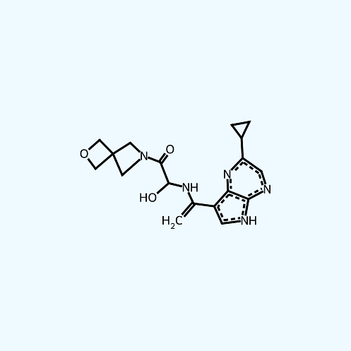 C=C(NC(O)C(=O)N1CC2(COC2)C1)c1c[nH]c2ncc(C3CC3)nc12